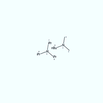 CCCCN(C)C.C[CH](C)[Al]([CH](C)C)[CH](C)C